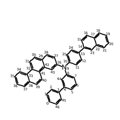 c1ccc(-c2cccc(N(c3ccc(-c4ccc5ccccc5c4)cc3)c3ccc4ccc5c6ccccc6ccc5c4c3)c2)cc1